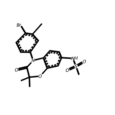 Cc1cc(N2C(=O)C(C)(C)Oc3cc(NS(C)(=O)=O)ccc32)ccc1Br